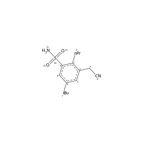 CCCc1c(CC#N)cc(C(C)CC)cc1S(N)(=O)=O